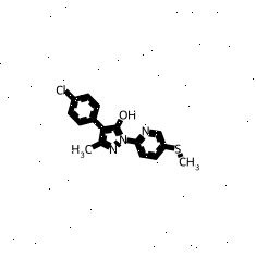 CSc1ccc(-n2nc(C)c(-c3ccc(Cl)cc3)c2O)nc1